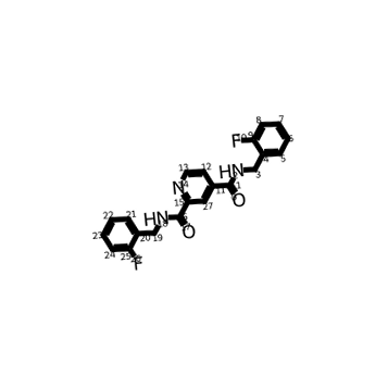 O=C(NCc1ccccc1F)c1ccnc(C(=O)NCc2ccccc2F)c1